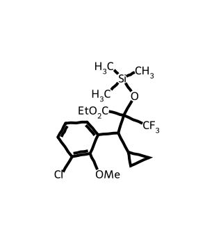 CCOC(=O)C(O[Si](C)(C)C)(C(c1cccc(Cl)c1OC)C1CC1)C(F)(F)F